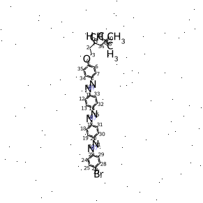 CC(CCOc1ccc(/N=N/c2ccc(/N=N/c3ccc(/N=N/c4ccc(Br)cc4)cc3)cc2)cc1)CC(C)(C)C